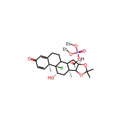 CCOP(=O)(OCC)OC(=O)[C@@]12OC(C)(C)O[C@@H]1CC1C3CCC4=CC(=O)C=C[C@]4(C)[C@@]3(F)[C@@H](O)C[C@@]12C